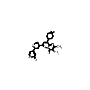 Cc1nc2c(C3CCC(F)(F)CC3)cc(C3CCOC(c4cc[nH]c(=O)c4)C3)nn2c(=O)c1C